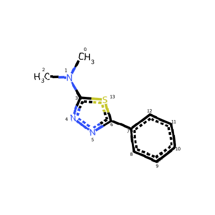 CN(C)c1nnc(-c2ccccc2)s1